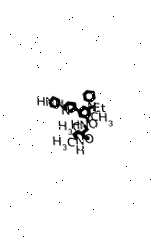 CCN(c1cc(-c2ccc(N3CCNCC3)nc2)cc(C(=O)NCc2c(C)cc(C)[nH]c2=O)c1C)C1CCCCC1